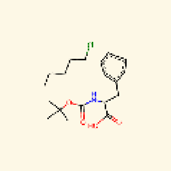 CC(C)(C)OC(=O)NC(Cc1ccccc1)C(=O)O.CCCCCCl